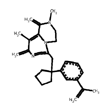 C=C1N=C(CC2(c3cccc(C(=C)C)c3)CCCC2)N2CCN(C)C(=C)C2=C1C